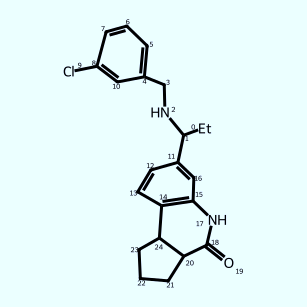 CCC(NCc1cccc(Cl)c1)c1ccc2c(c1)NC(=O)C1CCCC21